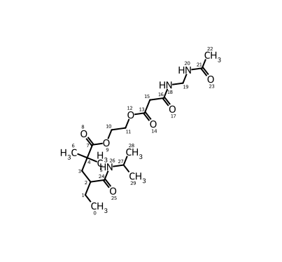 CCC(CC(C)(C)C(=O)OCCOC(=O)CC(=O)NCNC(C)=O)C(=O)NC(C)C